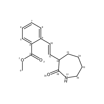 COC(=O)c1ccccc1/C=C/C1CCCCNC1=O